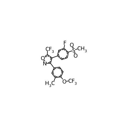 Cc1cc(-c2noc(C(F)(F)F)c2-c2ccc(S(C)(=O)=O)c(F)c2)ccc1OC(F)(F)F